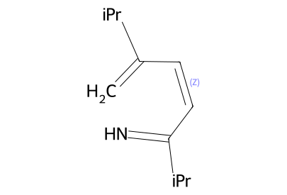 C=C(/C=C\C(=N)C(C)C)C(C)C